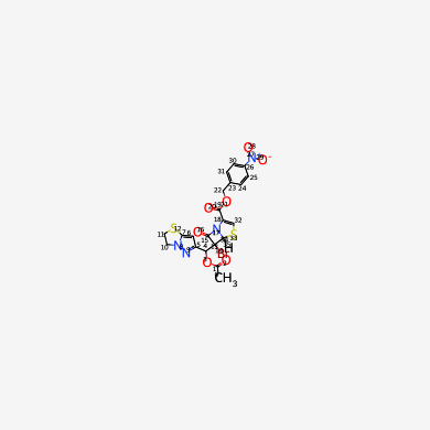 CC(=O)OC(c1cc2n(n1)CCS2)C1(Br)C(=O)N2C(C(=O)OCc3ccc([N+](=O)[O-])cc3)=CS[C@@H]21